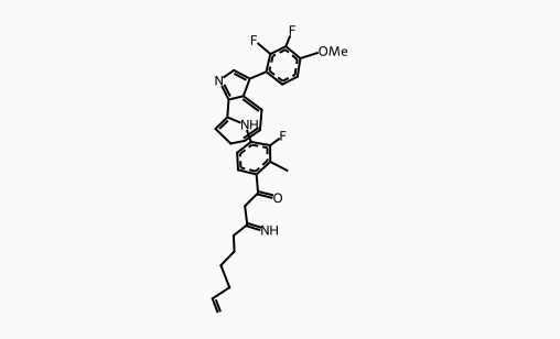 C=CCCCCC(=N)CC(=O)c1ccc(N/C2=C\C/C=C\C=C3\C(c4ccc(OC)c(F)c4F)=CN=C23)c(F)c1C